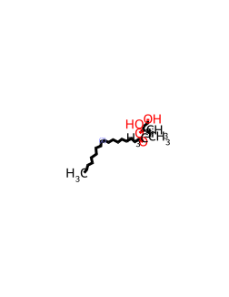 CCCCCCCC/C=C\CCCCCCCC(=O)OC(C(O)CO)[Si](C)(C)C